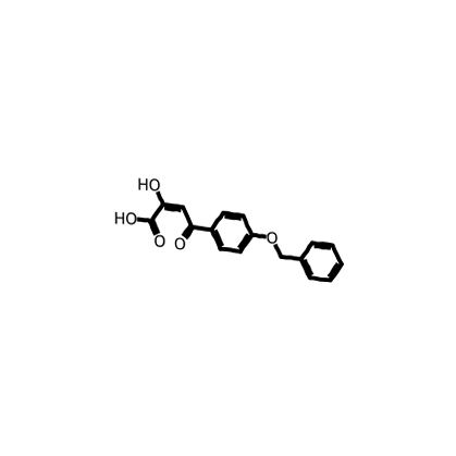 O=C(O)/C(O)=C\C(=O)c1ccc(OCc2ccccc2)cc1